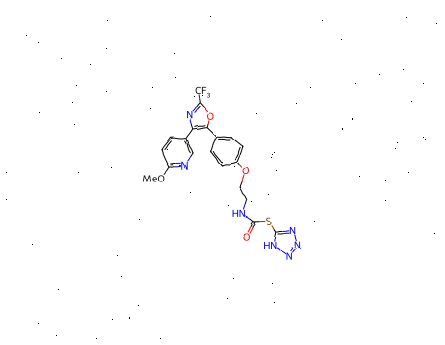 COc1ccc(-c2nc(C(F)(F)F)oc2-c2ccc(OCCNC(=O)Sc3nnn[nH]3)cc2)cn1